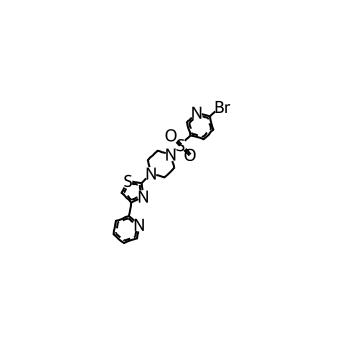 O=S(=O)(c1ccc(Br)nc1)N1CCN(c2nc(-c3ccccn3)cs2)CC1